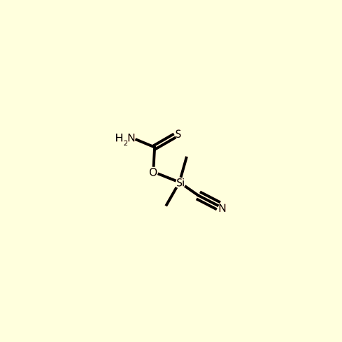 C[Si](C)(C#N)OC(N)=S